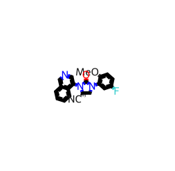 COc1ccc(F)cc1N1C[C@@H](C#N)N(c2cncc3ccccc23)C1=O